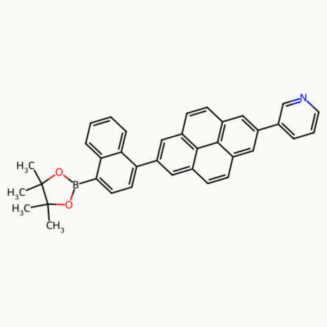 CC1(C)OB(c2ccc(-c3cc4ccc5cc(-c6cccnc6)cc6ccc(c3)c4c56)c3ccccc23)OC1(C)C